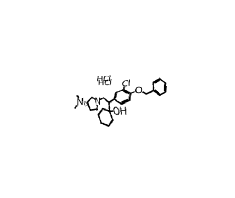 CN(C)[C@H]1CCN(CC(c2ccc(OCc3ccccc3)c(Cl)c2)C2(O)CCCCC2)C1.Cl.Cl